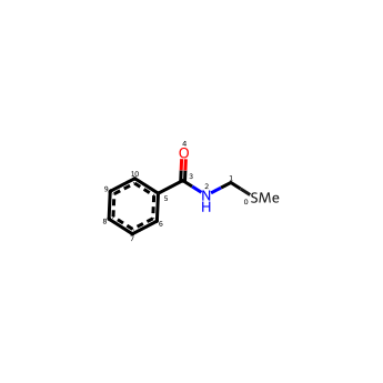 CSCNC(=O)c1ccccc1